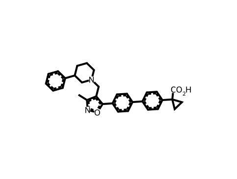 Cc1noc(-c2ccc(-c3ccc(C4(C(=O)O)CC4)cc3)cc2)c1CN1CCCC(c2ccccc2)C1